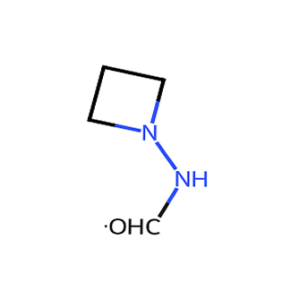 O=[C]NN1CCC1